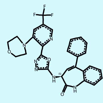 O=C1Nc2ccccc2C(c2ccccc2)=C[C@@H]1Nc1nnc(-c2ncc(C(F)(F)F)cc2N2CCOCC2)o1